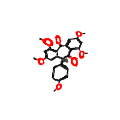 COc1ccc([C@@H]2C(=O)c3c(OC)cc(OC)cc3C(=O)c3c(OC)cc(OC)cc32)cc1